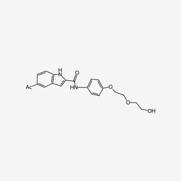 CC(=O)c1ccc2[nH]c(C(=O)Nc3ccc(OCCOCCO)cc3)cc2c1